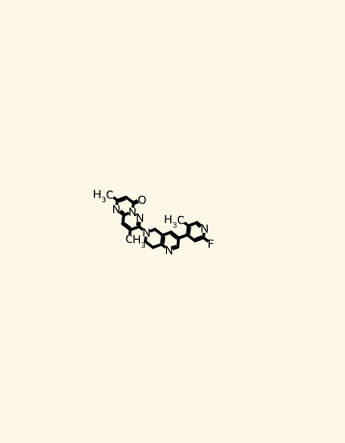 Cc1cc(=O)n2nc(N3CCc4ncc(-c5cc(F)ncc5C)cc4C3)c(C)cc2n1